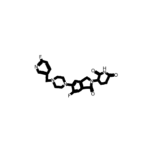 O=C1CCC(N2Cc3cc(N4CCN(Cc5ccc(F)nc5)CC4)c(F)cc3C2=O)C(=O)N1